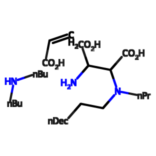 C=CC(=O)O.CCCCCCCCCCCCN(CCC)C(C(=O)O)C(N)C(=O)O.CCCCNCCCC